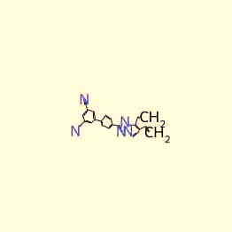 C=Cc1ccn2nc(-c3ccc(-c4cc(C#N)cc(C#N)c4)cc3)nc2c1C=C